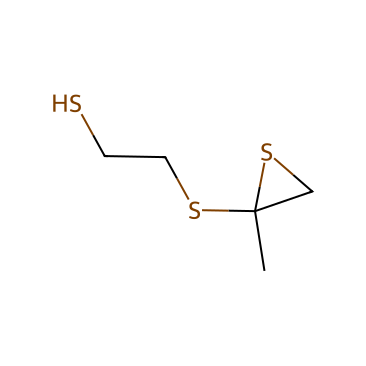 CC1(SCCS)CS1